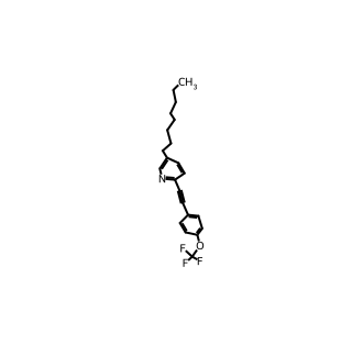 CCCCCCCCc1ccc(C#Cc2ccc(OC(F)(F)F)cc2)nc1